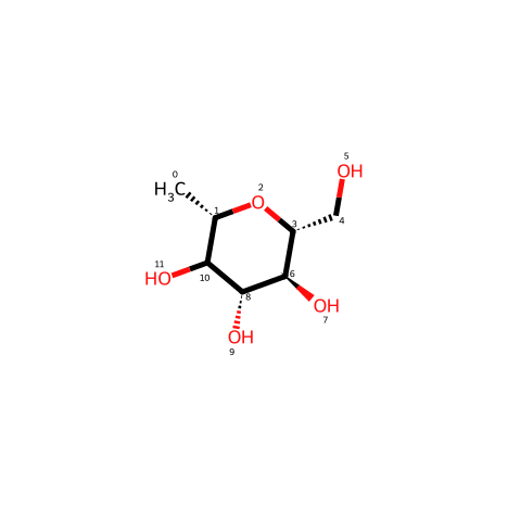 C[C@@H]1O[C@H](CO)[C@@H](O)[C@H](O)C1O